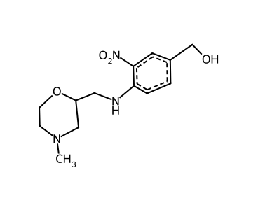 CN1CCOC(CNc2ccc(CO)cc2[N+](=O)[O-])C1